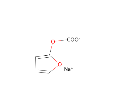 O=C([O-])Oc1ccco1.[Na+]